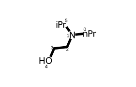 [CH2]CCN(CCO)C(C)C